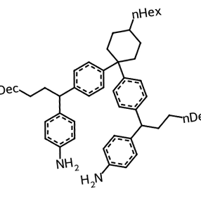 CCCCCCCCCCCCC(c1ccc(N)cc1)c1ccc(C2(c3ccc(C(CCCCCCCCCCCC)c4ccc(N)cc4)cc3)CCC(CCCCCC)CC2)cc1